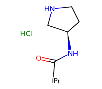 CC(C)C(=O)N[C@@H]1CCNC1.Cl